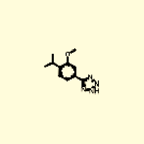 COc1cc(-c2nn[nH]n2)ccc1C(C)C